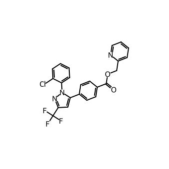 O=C(OCc1ccccn1)c1ccc(-c2cc(C(F)(F)F)nn2-c2ccccc2Cl)cc1